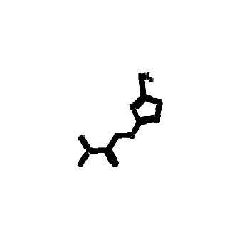 CN(C)C(=O)CSc1nsc(N)n1